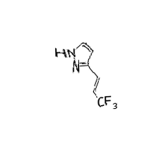 FC(F)(F)C=Cc1cc[nH]n1